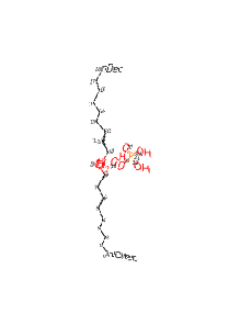 CCCCCCCCCCCCCCCCCCOCCCCCCCCCCCCCCCCCC.O.O=P(O)(O)O